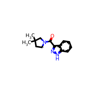 CC1(C)C[CH]N(C(=O)c2n[nH]c3ccccc23)C1